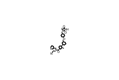 Cc1cc(C(=O)N(CCC#N)Cc2cccnc2)ccc1-c1cccc(COc2ccc(Cn3oc(=O)[nH]c3=O)cc2)c1